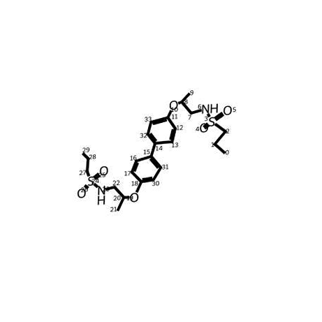 CCCS(=O)(=O)NCC(C)Oc1ccc(-c2ccc(OC(C)CNS(=O)(=O)CCC)cc2)cc1